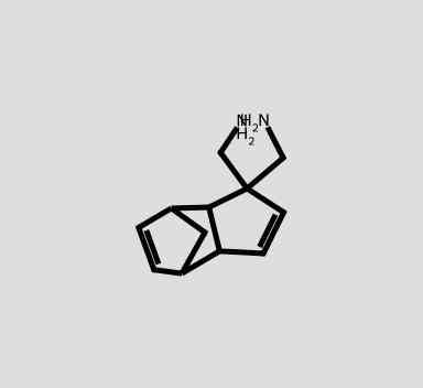 NCC1(CN)C=CC2C3C=CC(C3)C21